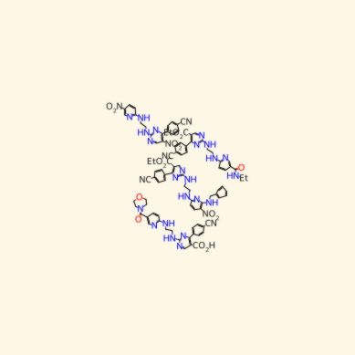 CCNC(=O)c1ccc(NCCNc2ncc(C(=O)OCC)c(-c3ccc(C#N)cc3)n2)nc1.CCOC(=O)c1cnc(NCCNc2ccc([N+](=O)[O-])c(NCc3ccccc3)n2)nc1-c1ccc(C#N)cc1.N#Cc1ccc(-c2nc(NCCNc3ccc(C(=O)N4CCOCC4)cn3)ncc2C(=O)O)cc1.N#Cc1ccc(-c2nc(NCCNc3ccc([N+](=O)[O-])cn3)ncc2[N+](=O)[O-])cc1